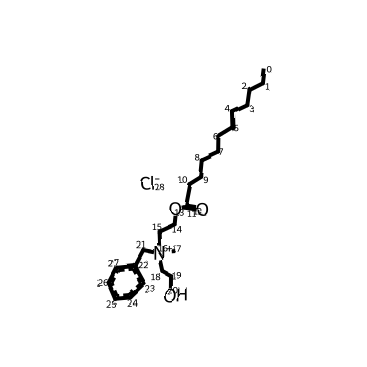 CCCCCCCCCCCC(=O)OCC[N+](C)(CCO)Cc1ccccc1.[Cl-]